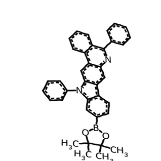 CC1(C)OB(c2ccc3c4cc5nc(-c6ccccc6)c6ccccc6c5cc4n(-c4ccccc4)c3c2)OC1(C)C